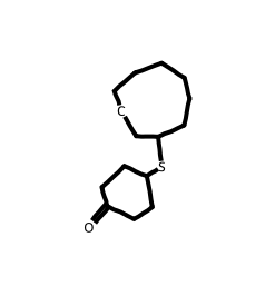 O=C1CCC(SC2CCCCCCCC2)CC1